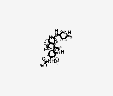 COC(=O)Nc1ccc2c(-c3nc(NC4CC=C(C)NC4)ncc3C(F)(F)F)c[nH]c2c1OC